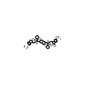 O=C1Cc2ccc(C(F)(F)F)cc2/C1=C/c1nc2c(s1)C1=CC3C=C4OC5(CCCCC5)c5nc(/C=C6\C(=O)C(=O)c7ccc(C(F)(F)F)cc76)sc5C4=CC3C=C1OC21CCCCC1